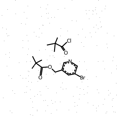 CC(C)(C)C(=O)Cl.CC(C)(C)C(=O)OCc1cncc(Br)c1